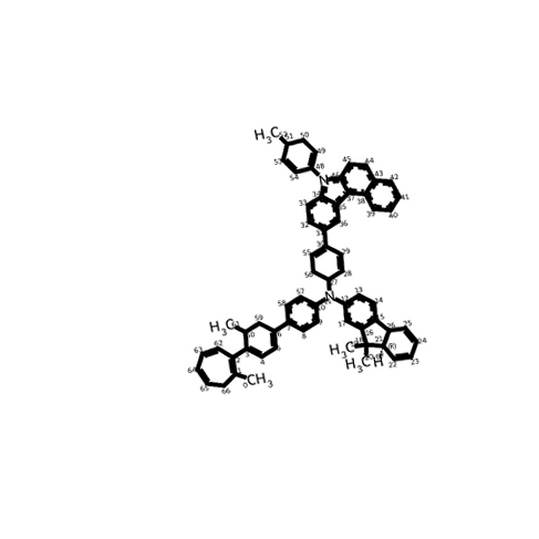 CC1=C(C2=CC=C(c3ccc(N(c4ccc5c(c4)C(C)(C)[C@@H]4C=CC=CC54)C4C=CC(c5ccc6c(c5)c5c7ccccc7ccc5n6C5=CCC(C)C=C5)=CC4)cc3)CC2C)C=CC=CC1